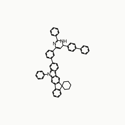 C1=C(c2cccc(-c3ccc4c5cc6c(cc5n(-c5ccccc5)c4c3)-c3ccccc3C63CCCCC3)c2)N=C(c2ccccc2)NC1c1ccc(-c2ccccc2)cc1